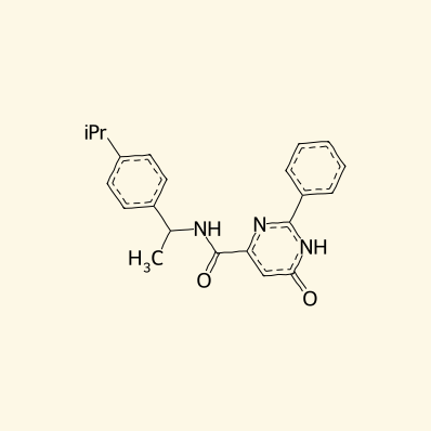 CC(C)c1ccc(C(C)NC(=O)c2cc(=O)[nH]c(-c3ccccc3)n2)cc1